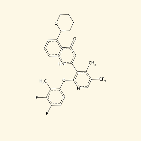 Cc1c(Oc2ncc(C(F)(F)F)c(C)c2-c2cc(=O)c3c(C4CCCCO4)cccc3[nH]2)ccc(F)c1F